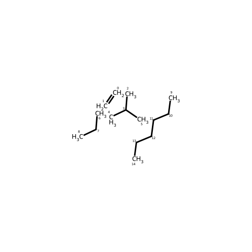 C=C.CC(C)C.CCC.CCCCCC